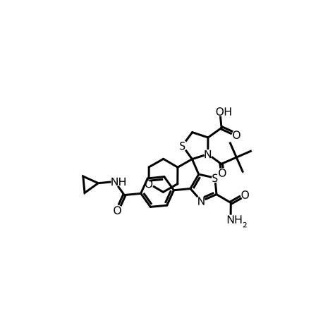 CC(C)(C)C(=O)N1C(C(=O)O)CSC1(c1sc(C(N)=O)nc1-c1ccc(C(=O)NC2CC2)cc1)C1CCOCC1